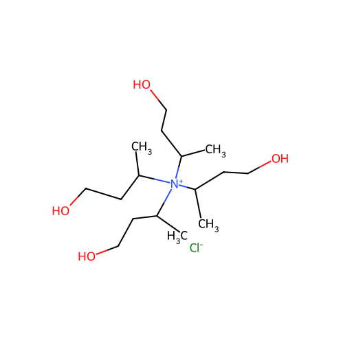 CC(CCO)[N+](C(C)CCO)(C(C)CCO)C(C)CCO.[Cl-]